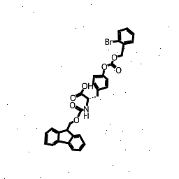 O=C(N[C@@H](Cc1ccc(OC(=O)OCc2ccccc2Br)cc1)C(=O)O)OCC1c2ccccc2-c2ccccc21